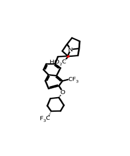 O=C(O)C1CC2CCC(C1)N2CCc1ccc2ccc(O[C@H]3CC[C@@H](C(F)(F)F)CC3)c(C(F)(F)F)c2c1